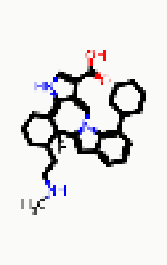 CNCCC1CCCC2=c3[nH]cc(C(=O)O)c3=Cn3c(cc4cccc(C5CCCCC5)c43)[C@@H]21